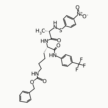 C[C@H](NSc1ccc([N+](=O)[O-])cc1)C(=O)N[C@@H](CCCCNC(=O)OCc1ccccc1)C(=O)Nc1ccc(C(F)(F)F)cc1